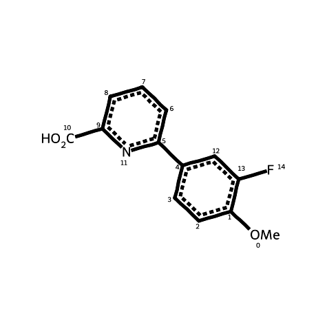 COc1ccc(-c2cccc(C(=O)O)n2)cc1F